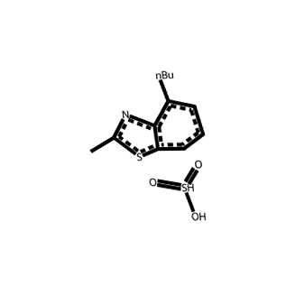 CCCCc1cccc2sc(C)nc12.O=[SH](=O)O